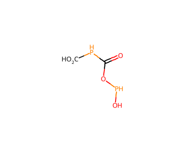 O=C(O)PC(=O)OPO